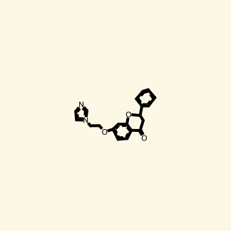 O=C1CC(c2ccccc2)Oc2cc(OCCn3ccnc3)ccc21